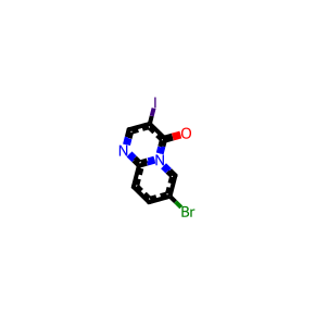 O=c1c(I)cnc2ccc(Br)cn12